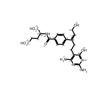 Nc1nc(N)c(CC/C(=C/CO)c2ccc(C(=O)N[C@@H](CCC(=O)O)C(=O)O)cc2)c(O)n1